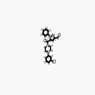 O=Cc1cc(C(=O)N2CCN(c3cccc(Cl)c3)CC2)n(-c2ccccc2)n1